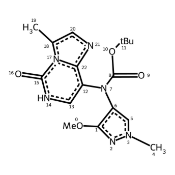 COc1nn(C)cc1N(C(=O)OC(C)(C)C)c1c[nH]c(=O)n2c(C)cnc12